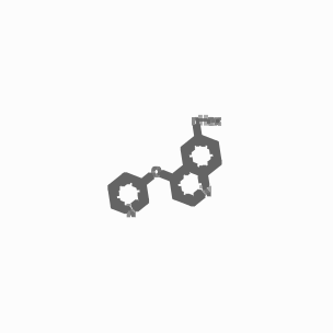 CCCCCCc1ccc2nccc(Oc3cccnc3)c2c1